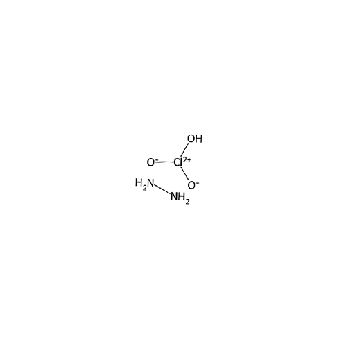 NN.[O-][Cl+2]([O-])O